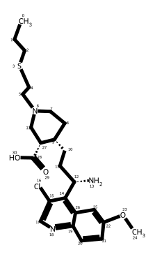 CCCSCCN1CC[C@H](CC[C@H](N)c2c(Cl)cnc3ccc(OC)cc23)[C@H](C(=O)O)C1